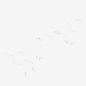 CC/N=C(/NCCN(C)CCN/C(=N/CC)c1ccc(I)cc1)c1ccc(Cl)cc1